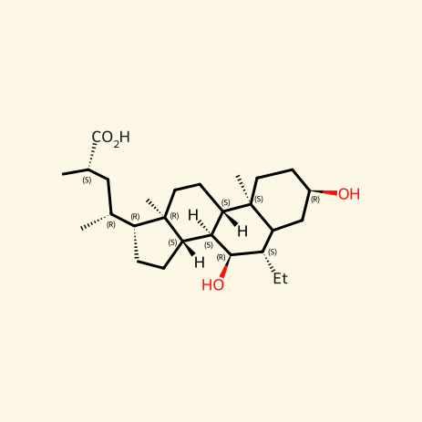 CC[C@H]1C2C[C@H](O)CC[C@]2(C)[C@H]2CC[C@]3(C)[C@@H]([C@H](C)C[C@H](C)C(=O)O)CC[C@H]3[C@@H]2[C@@H]1O